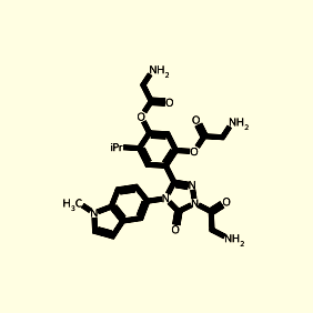 CC(C)c1cc(-c2nn(C(=O)CN)c(=O)n2-c2ccc3c(ccn3C)c2)c(OC(=O)CN)cc1OC(=O)CN